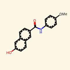 COc1ccc(NC(=O)c2ccc3cc(O)ccc3c2)cc1